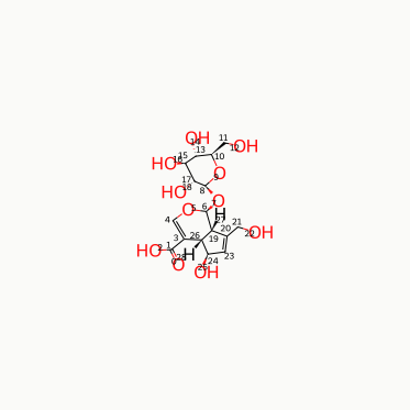 O=C(O)C1=CO[C@@H](O[C@@H]2O[C@H](CO)[C@@H](O)[C@H](O)[C@H]2O)[C@@H]2C(CO)=C[C@@H](O)[C@H]12